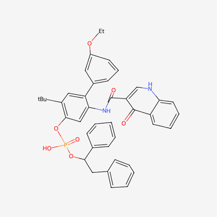 CCOc1cccc(-c2cc(C(C)(C)C)c(OP(=O)(O)OC(Cc3ccccc3)c3ccccc3)cc2NC(=O)c2c[nH]c3ccccc3c2=O)c1